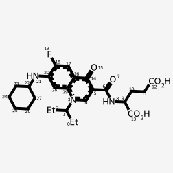 CCC(CC)n1cc(C(=O)NC(CCC(=O)O)C(=O)O)c(=O)c2cc(F)c(NC3CCCCC3)cc21